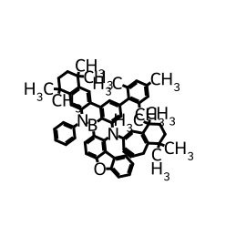 Cc1cc(C)c(-c2cc3c4c(c2)N(C2=CC5=C(CC#C2)C(C)(C)CCC5(C)C)c2c(ccc5oc6ccccc6c25)B4N(c2ccccc2)c2cc4c(cc2-3)C(C)(C)CCC4(C)C)c(C)c1